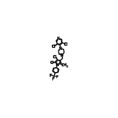 Cn1c(CN2CCN(c3c(Cl)cncc3Cl)CC2)c(Cl)c(=O)n1-c1ccc(C(F)(F)F)cc1